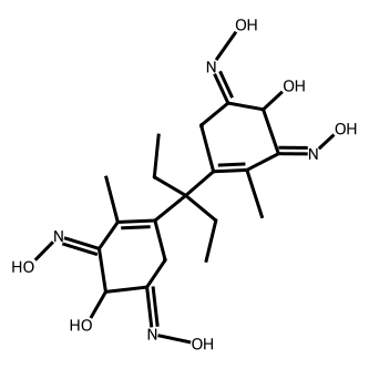 CCC(CC)(C1=C(C)C(=NO)C(O)C(=NO)C1)C1=C(C)C(=NO)C(O)C(=NO)C1